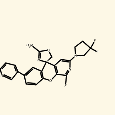 NC1=N[C@@]2(CO1)c1cc(-c3cccnc3)ccc1Oc1c2cc(N2CCC(F)(F)C2)nc1F